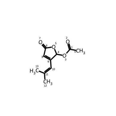 CC(=O)OC1OC(=O)C=C1C=C(C)C